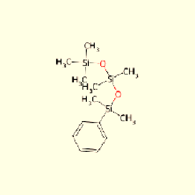 C[Si](C)(C)O[Si](C)(C)O[Si](C)(C)c1ccccc1